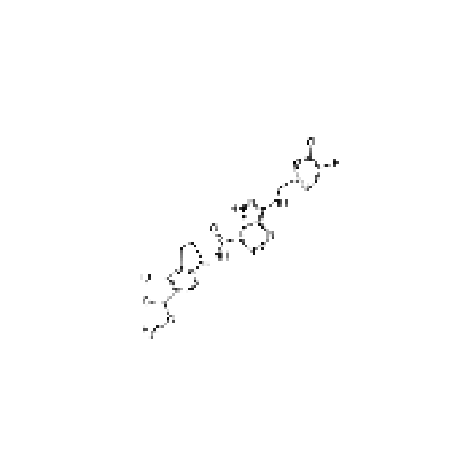 COC(=O)c1ccc2c(c1C)CC[C@@H]2NC(=O)c1ncnc2c(NCc3ccc(F)c(Cl)c3)n[nH]c12